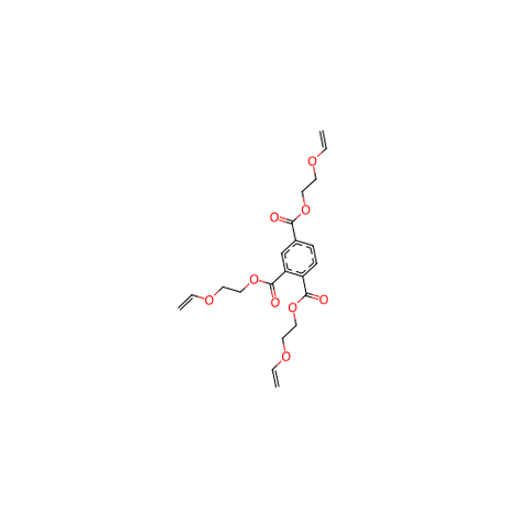 C=COCCOC(=O)c1ccc(C(=O)OCCOC=C)c(C(=O)OCCOC=C)c1